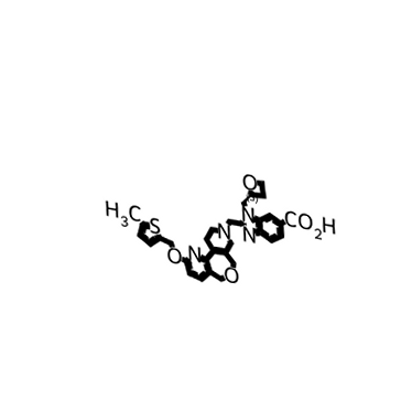 Cc1ccc(COc2ccc3c(n2)C2=C(COC3)CN(Cc3nc4ccc(C(=O)O)cc4n3C[C@@H]3CCO3)CC2)s1